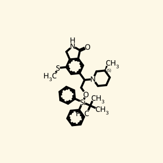 CSc1cc(C(CO[Si](c2ccccc2)(c2ccccc2)C(C)(C)C)N2CCC[C@H](C)C2)cc2c1CNC2=O